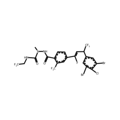 CN(NC(=O)c1ccc(/C(F)=C/C(c2cc(Br)c(Cl)c(Br)c2)C(F)(F)F)cc1C(F)(F)F)C(=O)NCC(F)(F)F